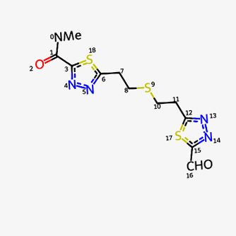 CNC(=O)c1nnc(CCSCCc2nnc(C=O)s2)s1